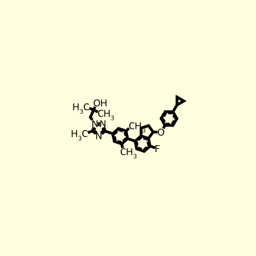 Cc1cc(-c2nc(C)n(CC(C)(C)O)n2)cc(C)c1-c1ccc(F)c2c1CCC2Oc1ccc(C2CC2)cc1